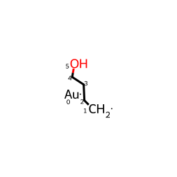 [Au].[CH2]CCCO